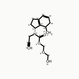 C#CCN(C(=O)OCOCO)[C@@H]1CCC2=C1C(C)CC=C2